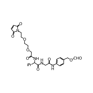 CC(C)C(NC(=O)COCCOCCN1C(=O)C=CC1=O)C(=O)NCC(=O)Nc1ccc(COC=O)cc1